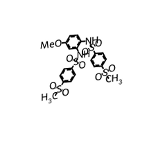 COc1ccc(NS(=O)(=O)c2ccc(S(C)(=O)=O)cc2)c(NS(=O)(=O)c2ccc(S(C)(=O)=O)cc2)c1